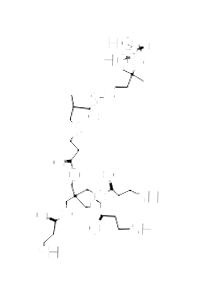 CC(CSCCC(=O)OCC(COC(=O)CCS)(COC(=O)CCS)COC(=O)CCS)C(=O)SOCCC(C)(C)OP(=O)(O)O